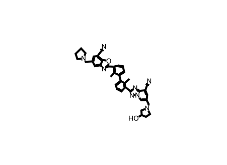 Cc1c(-c2nc3c(C#N)cc(CN4CCC(O)C4)cn3n2)cccc1-c1cccc(-c2nc3cc(CN4CCCC4)cc(C#N)c3o2)c1C